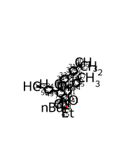 C#Cc1ccc(-c2cc3c4c(cc(-c5ccc(C)cc5)c(-c5cc(-c6ccc(C(=C)C)cc6)ccc5C)c4c2C(C)C)C(=O)N(CC(CC)CCCC)C3=O)cc1